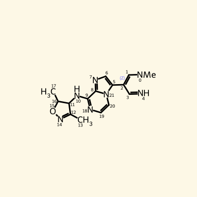 CN/C=C(\C=N)c1cnc2c(NC3C(C)=NOC3C)nccn12